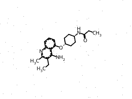 CCC(=O)N[C@H]1CC[C@H](Oc2cccc3nc(C)c(CC)c(N)c23)CC1